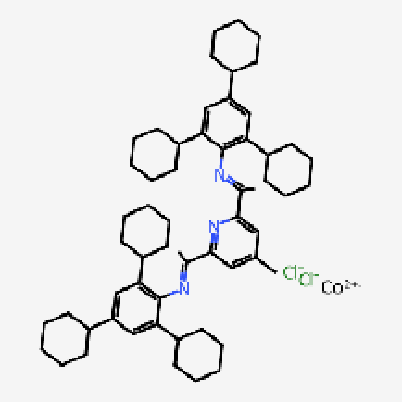 CC(=Nc1c(C2CCCCC2)cc(C2CCCCC2)cc1C1CCCCC1)c1cc(C)cc(C(C)=Nc2c(C3CCCCC3)cc(C3CCCCC3)cc2C2CCCCC2)n1.[Cl-].[Cl-].[Co+2]